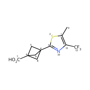 Cc1sc(C23CC(C(=O)O)(C2)C3)nc1C(F)(F)F